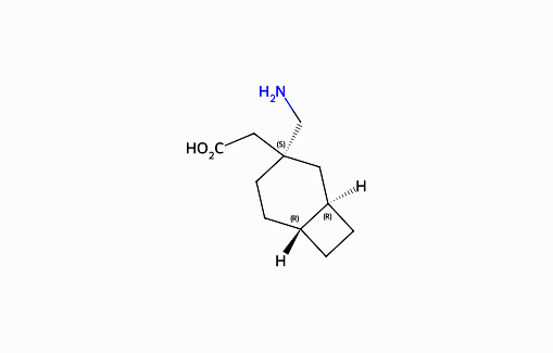 NC[C@@]1(CC(=O)O)CC[C@H]2CC[C@@H]2C1